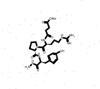 COC(=O)CCC(=O)N[C@@H](CCCNC(=N)N)C(=O)N1CCC[C@H]1C(=O)N[C@@H](Cc1ccc(O)cc1)C(=O)NN